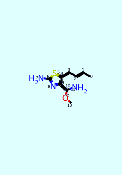 C/C=C/C=c1/sc(N)n/c1=C(/N)OC